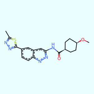 CO[C@H]1CC[C@@H](C(=O)Nc2cc3cc(-c4nnc(C)s4)ccc3nn2)CC1